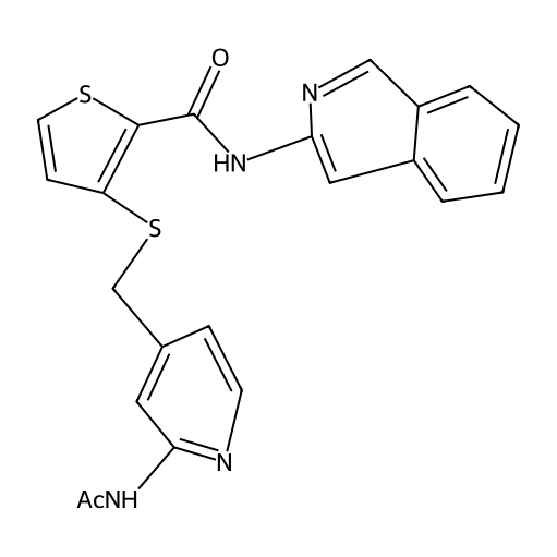 CC(=O)Nc1cc(CSc2ccsc2C(=O)Nc2cc3ccccc3cn2)ccn1